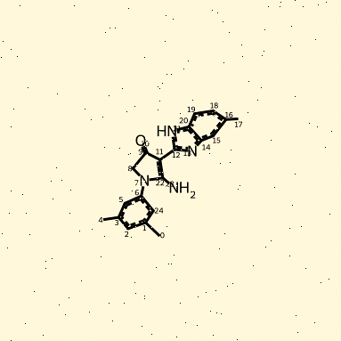 Cc1cc(C)cc(N2CC(=O)C(c3nc4cc(C)ccc4[nH]3)=C2N)c1